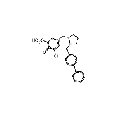 O=C(O)c1cn(C[C@@H]2CCCN2Cc2ccc(-c3ccccc3)cc2)cc(O)c1=O